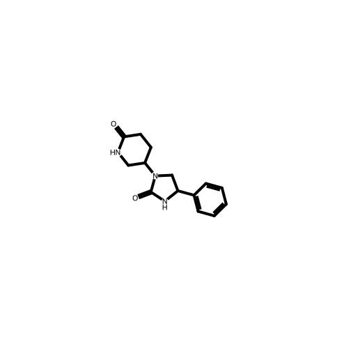 O=C1CCC(N2CC(c3ccccc3)NC2=O)CN1